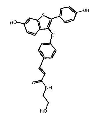 O=C(C=Cc1ccc(Oc2c(-c3ccc(O)cc3)sc3cc(O)ccc23)cc1)NCCO